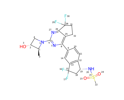 C[C@H]1[C@H](O)CN1c1nc(-c2ccc3c(c2)C(F)(F)C[C@H]3NS(C)(=O)=O)c2c(n1)C(F)(F)CC2